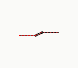 CCCCCCCCCCCCCCCCCCCCCCOc1ccc(N=Nc2ccc(OCCCCCCCCCCCCCCCCCCCCCC)cc2)cc1